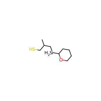 CC(CS)C[SiH2]C1CCCCO1